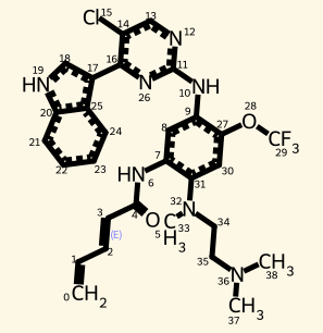 C=C/C=C/C(=O)Nc1cc(Nc2ncc(Cl)c(-c3c[nH]c4ccccc34)n2)c(OC(F)(F)F)cc1N(C)CCN(C)C